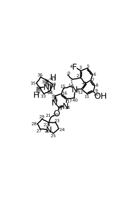 CCc1c(F)ccc2cc(O)cc(N3CCc4c(nc(OCC56CCCN5CCC6)nc4[C@@H]4C[C@H]5CC[C@@H](C4)N5)C3)c12